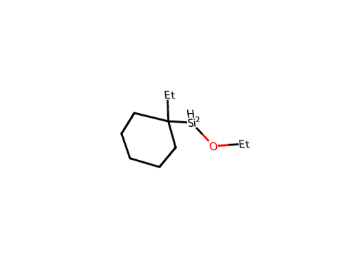 CCO[SiH2]C1(CC)CCCCC1